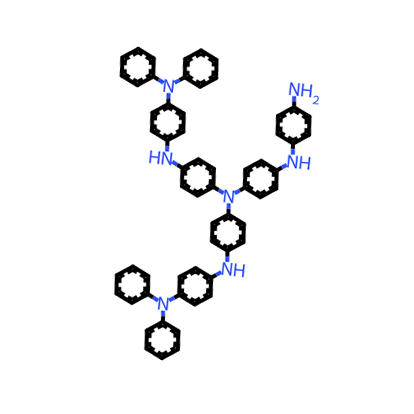 Nc1ccc(Nc2ccc(N(c3ccc(Nc4ccc(N(c5ccccc5)c5ccccc5)cc4)cc3)c3ccc(Nc4ccc(N(c5ccccc5)c5ccccc5)cc4)cc3)cc2)cc1